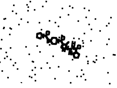 Cc1c(C(=O)N2CCC3(CC2)CC3C(=O)N2CCCC2)cnn1-c1nc2c(c(=O)[nH]1)CCC2